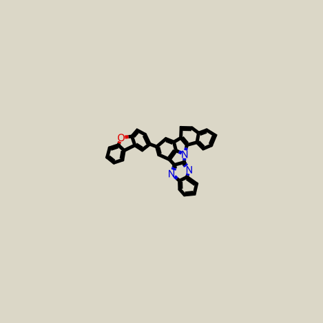 c1ccc2c(c1)ccc1c3cc(-c4ccc5oc6ccccc6c5c4)cc4c5nc6ccccc6nc5n(c21)c34